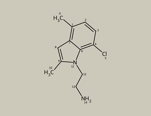 Cc1ccc(Cl)c2c1cc(C)n2CCN